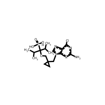 CC(C)C(OCC1(Cn2cnc3c(Cl)nc(N)nc32)CC1)(C(C)C)P(=O)(O)O